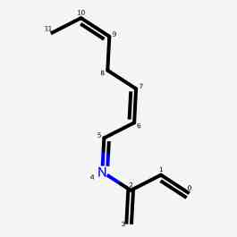 C=CC(=C)/N=C\C=C/C/C=C\C